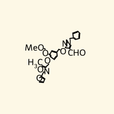 COCOc1cc(COc2nn(Cc3ccccc3)cc2C=O)ccc1OCc1nc(-c2ccco2)oc1C